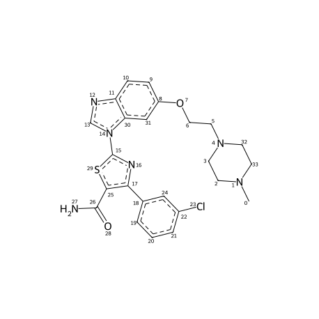 CN1CCN(CCOc2ccc3ncn(-c4nc(-c5cccc(Cl)c5)c(C(N)=O)s4)c3c2)CC1